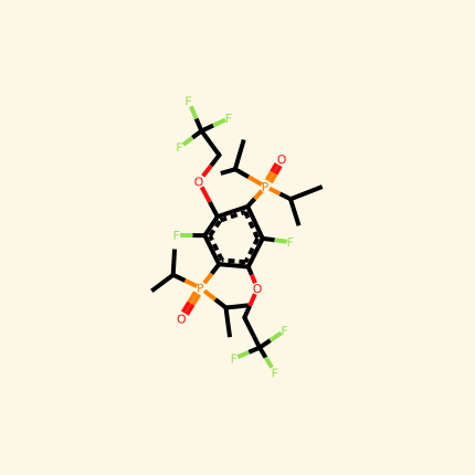 CC(C)P(=O)(c1c(F)c(OCC(F)(F)F)c(P(=O)(C(C)C)C(C)C)c(F)c1OCC(F)(F)F)C(C)C